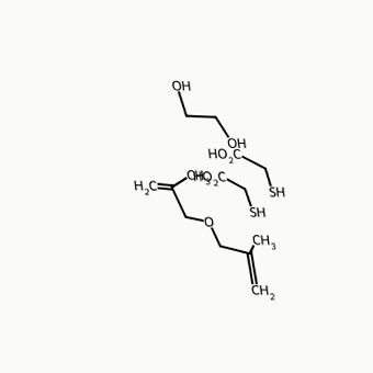 C=C(C)COCC(=C)C.O=C(O)CS.O=C(O)CS.OCCO